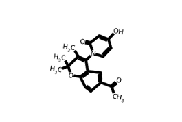 CC(=O)c1ccc2c(c1)C(n1ccc(O)cc1=O)=C(C)C(C)(C)O2